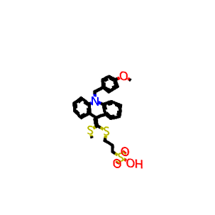 COc1ccc(CN2c3ccccc3C(=C(SC)SCCCS(=O)(=O)O)c3ccccc32)cc1